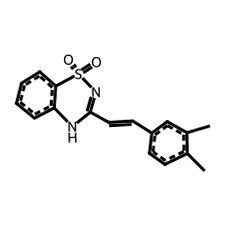 Cc1ccc(/C=C/C2=NS(=O)(=O)c3ccccc3N2)cc1C